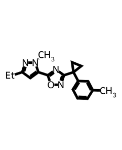 CCc1cc(-c2nc(C3(c4cccc(C)c4)CC3)no2)n(C)n1